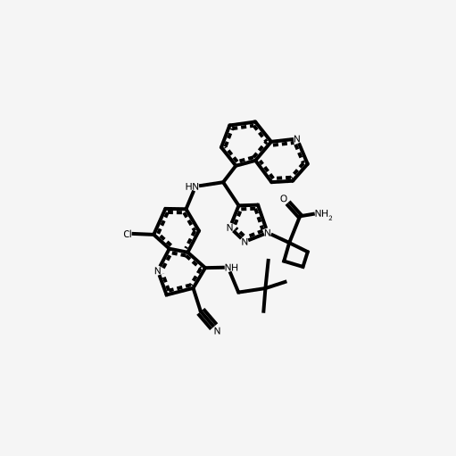 CC(C)(C)CNc1c(C#N)cnc2c(Cl)cc(NC(c3cn(C4(C(N)=O)CCC4)nn3)c3cccc4ncccc34)cc12